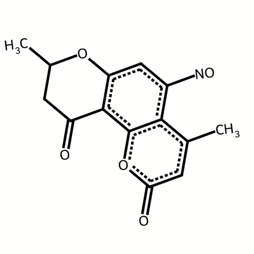 Cc1cc(=O)oc2c3c(cc(N=O)c12)OC(C)CC3=O